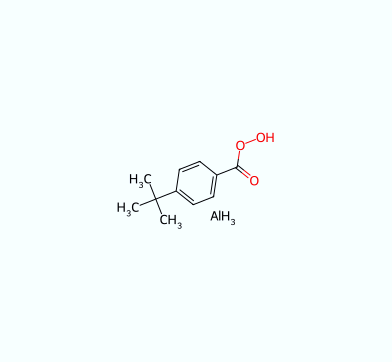 CC(C)(C)c1ccc(C(=O)OO)cc1.[AlH3]